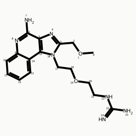 COCc1nc2c(N)nc3ccccc3c2n1CCOCCNC(=N)N